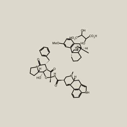 CN1C[C@H](C(=O)N[C@]2(C)O[C@@]3(O)[C@@H]4CCCN4C(=O)[C@H](Cc4ccccc4)N3C2=O)C=C2c3cccc4[nH]cc(c34)C[C@H]21.COc1ccc2c(c1)[C@]13CCCC[C@@H]1[C@H](C2)N(C)CC3.O=C(O)C(O)C(O)C(=O)O